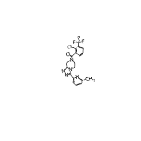 Cc1cccc(-c2nnc3n2CCN(C(=O)c2cccc(C(F)(F)F)c2Cl)C3)n1